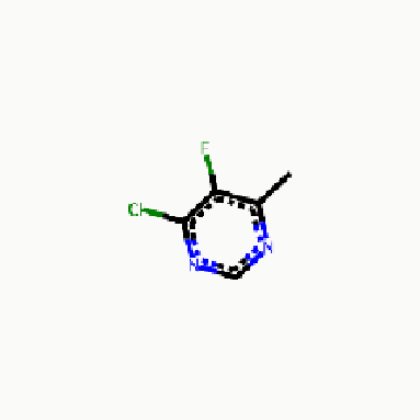 Cc1ncnc(Cl)c1F